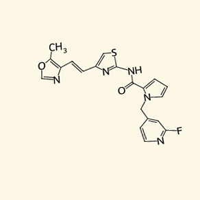 Cc1ocnc1C=Cc1csc(NC(=O)c2cccn2Cc2ccnc(F)c2)n1